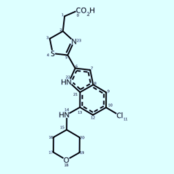 O=C(O)CC1CSC(c2cc3cc(Cl)cc(NC4CCOCC4)c3[nH]2)=N1